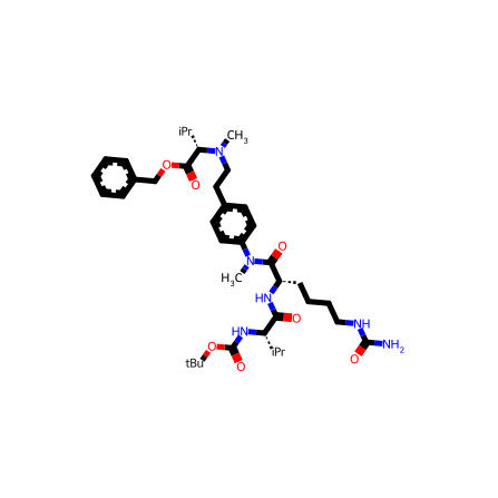 CC(C)[C@H](NC(=O)OC(C)(C)C)C(=O)N[C@@H](CCCCNC(N)=O)C(=O)N(C)c1ccc(CCN(C)[C@H](C(=O)OCc2ccccc2)C(C)C)cc1